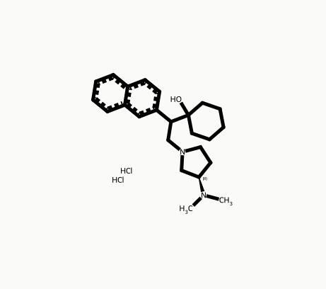 CN(C)[C@@H]1CCN(CC(c2ccc3ccccc3c2)C2(O)CCCCC2)C1.Cl.Cl